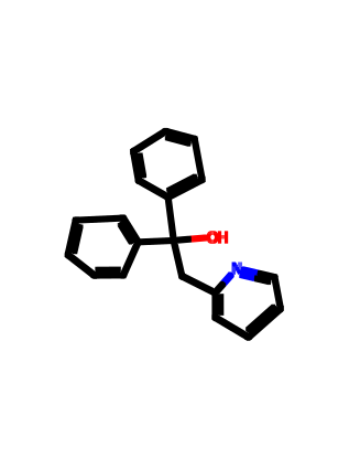 OC(Cc1ccccn1)(c1ccccc1)c1ccccc1